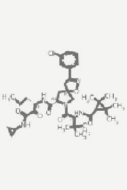 CCC[C@H](NC(=O)[C@@H]1C[C@]2(CC(c3cccc(Cl)c3)=NO2)CN1C(=O)[C@@H](NC(=O)C1C(C)(C)C1(C)C)C(C)(C)C)C(=O)C(=O)NC1CC1